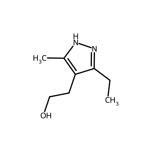 CCc1n[nH]c(C)c1CCO